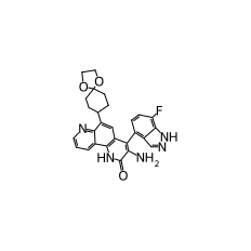 Nc1c(-c2ccc(F)c3[nH]ncc23)c2cc(C3CCC4(CC3)OCCO4)c3ncccc3c2[nH]c1=O